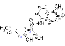 C#C/C(=C\C(O)=C/COC)C(=O)NC1CCCc2c1ccc(=O)n2C